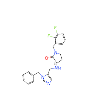 O=C1[C@@H](NCc2cncn2Cc2ccccc2)CCN1Cc1cccc(F)c1F